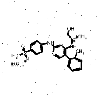 CCOC(=O)N=S(C)(=O)c1ccc(Nc2ncc(-c3ccccc3C)c(N[C@H](C)CO)n2)cc1